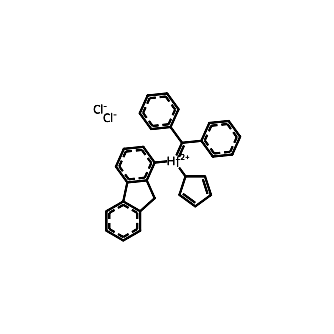 C1=C[CH]([Hf+2](=[C](c2ccccc2)c2ccccc2)[c]2cccc3c2Cc2ccccc2-3)C=C1.[Cl-].[Cl-]